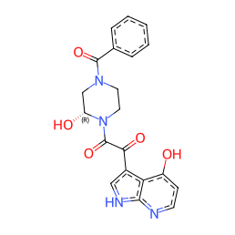 O=C(C(=O)N1CCN(C(=O)c2ccccc2)C[C@H]1O)c1c[nH]c2nccc(O)c12